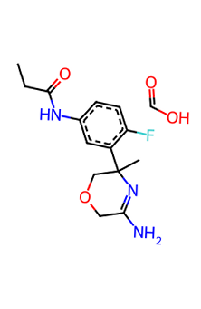 CCC(=O)Nc1ccc(F)c(C2(C)COCC(N)=N2)c1.O=CO